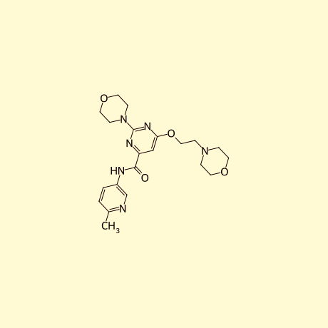 Cc1ccc(NC(=O)c2cc(OCCN3CCOCC3)nc(N3CCOCC3)n2)cn1